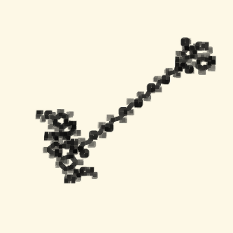 CC(C)N(C)[C@@H]1CC[C@H](N2CC[C@H](Nc3ncnc4ccc(C(F)(F)F)cc34)C2=O)[C@H](NC(=O)CCOCCOCCOCCOCCOCCOCCNC(=O)[C@H]2CC(=O)N(C)[C@@H]2c2cccnc2)C1